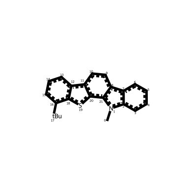 Cn1c2ccccc2c2ccc3c4cccc(C(C)(C)C)c4sc3c21